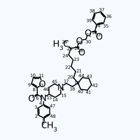 Cc1ccc(N(C(=O)c2ccco2)C2CCN(CCC3(CCCCCC(C)C(=O)OCOC(=O)c4ccccc4)CCCCC3)CC2)cc1